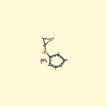 [SiH4].c1ccc(OC2CO2)cc1